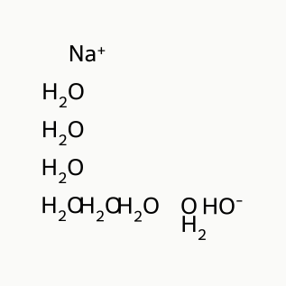 O.O.O.O.O.O.O.[Na+].[OH-]